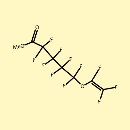 COC(=O)C(F)(F)C(F)(F)C(F)(F)C(F)(F)OC(F)=C(F)F